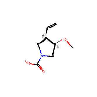 C=C[C@@H]1CN(C(=O)O)C[C@H]1OC